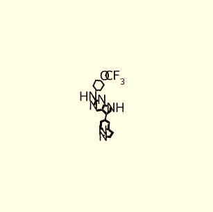 FC(F)(F)OC1CCC(Nc2ncc3c(-c4ccn5nccc5c4)c[nH]c3n2)CC1